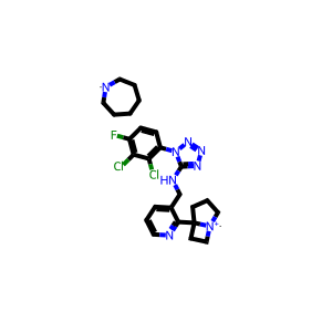 C1CCC[N]CC1.Fc1ccc(-n2nnnc2NCc2cccnc2C23CCC[N+]2CC3)c(Cl)c1Cl